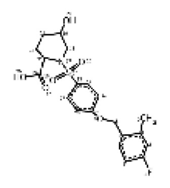 Cc1cc(F)ccc1COc1ccc(S(=O)(=O)N2CC(O)CCC2C(=O)O)cc1